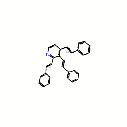 C(=C\c1ccnc(/C=C/c2ccccc2)c1/C=C/c1ccccc1)/c1ccccc1